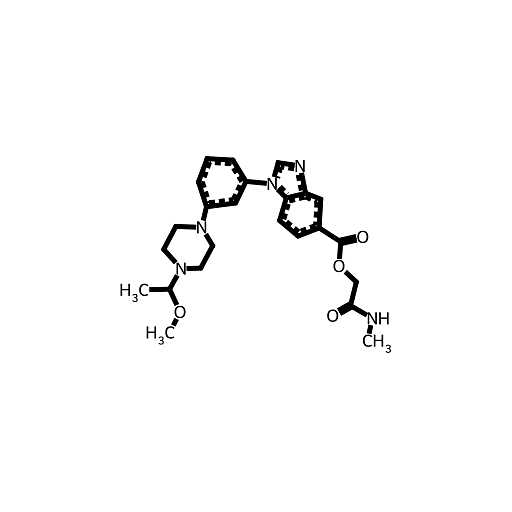 CNC(=O)COC(=O)c1ccc2c(c1)ncn2-c1cccc(N2CCN(C(C)OC)CC2)c1